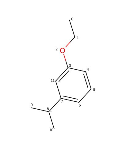 CCOc1cccc([C](C)C)c1